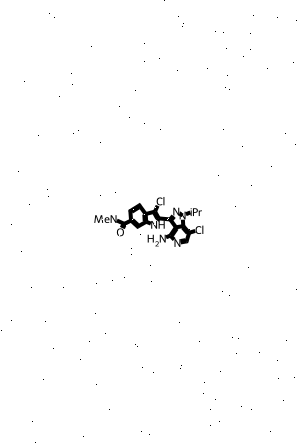 CNC(=O)c1ccc2c(Cl)c(-c3nn(C(C)C)c4c(Cl)cnc(N)c34)[nH]c2c1